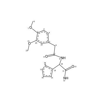 COc1ccc(CC(=O)NC(C([NH])=O)c2cccs2)cc1OC